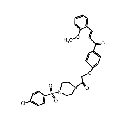 COc1ccccc1C=CC(=O)c1ccc(OCC(=O)N2CCN(S(=O)(=O)c3ccc(Cl)cc3)CC2)cc1